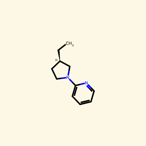 CC[C@@H]1CCN(c2ccccn2)C1